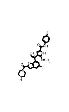 C=Nc1[nH]c(C(=O)Nc2ccc(F)cc2)cc1/C(=C\C)c1cc(Cl)cc2c1OC(C(=O)N1CCNCC1)C2